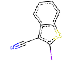 N#Cc1c(I)sc2ccccc12